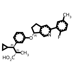 Cc1ccc(F)c(-c2cc3c(cn2)[C@H](Oc2cccc([C@H](C4CC4)[C@H](C)C(=O)O)c2)CC3)c1